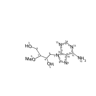 COC(CO)C(O)Cn1cnc2c(N)ncnc21